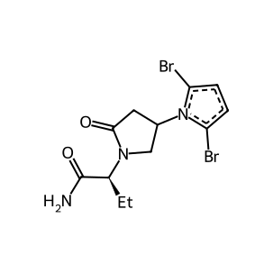 CC[C@@H](C(N)=O)N1CC(n2c(Br)ccc2Br)CC1=O